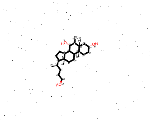 CCC1[C@@H](O)C2C3CCC([C@H](C)CCCO)[C@@]3(C)CCC2[C@@]2(C)CC[C@@H](O)C[C@@H]12